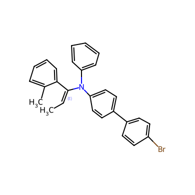 C/C=C(\c1ccccc1C)N(c1ccccc1)c1ccc(-c2ccc(Br)cc2)cc1